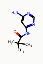 CC(C)(C)C(=O)Nc1cc(N)ncn1